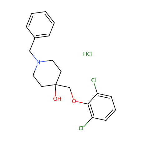 Cl.OC1(COc2c(Cl)cccc2Cl)CCN(Cc2ccccc2)CC1